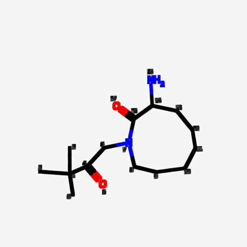 CC(C)(C)C(=O)CN1CCCCCCC(N)C1=O